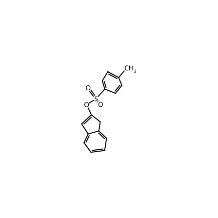 Cc1ccc(S(=O)(=O)OC2=Cc3ccccc3C2)cc1